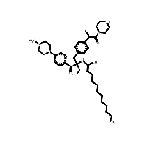 CCCCCCCCCCCC(C)NC(CC)(Cc1ccc(C(C)C(=O)N2CCNCC2)cc1)C(=O)c1ccc(N2CCN(C)CC2)cc1